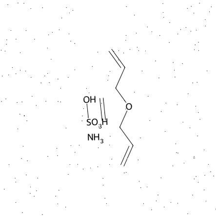 C=C.C=CCOCC=C.N.O=S(=O)(O)O